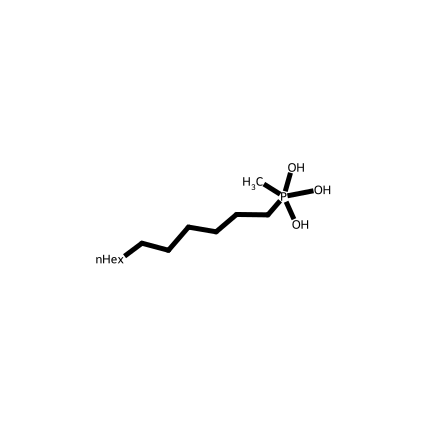 CCCCCCCCCCCCP(C)(O)(O)O